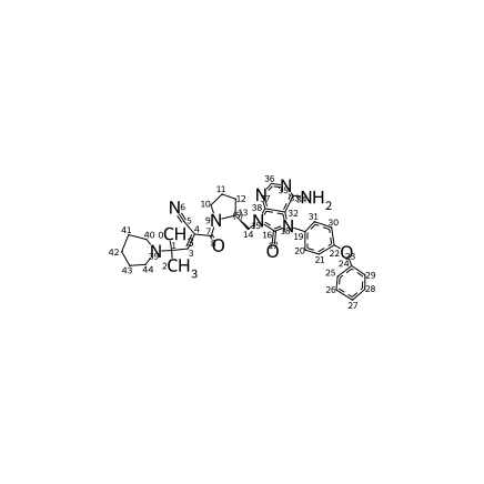 CC(C)(C=C(C#N)C(=O)N1CCC[C@H]1Cn1c(=O)n(-c2ccc(Oc3ccccc3)cc2)c2c(N)ncnc21)N1CCCCC1